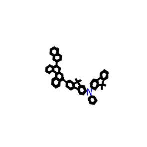 CC1(C)c2ccccc2-c2ccc(N(c3ccccc3)c3ccc4c(c3)C(C)(C)c3cc(-c5cc6cc(-c7ccc8ccccc8c7)c7ccccc7c6c6ccccc56)ccc3-4)cc21